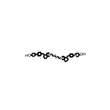 OC1CCN(c2ccc(/C=C3\CCCc4c[n+](CCSSCC[n+]5ccc6c(c5)CCC/C6=C\c5ccc(N6CCC(O)CC6)cc5)ccc43)cc2)CC1